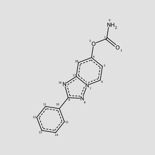 NC(=O)Oc1ccn2nc(-c3ccccc3)nc2c1